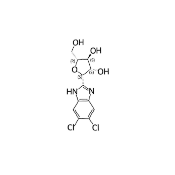 OC[C@H]1O[C@@H](c2nc3cc(Cl)c(Cl)cc3[nH]2)[C@@H](O)[C@@H]1O